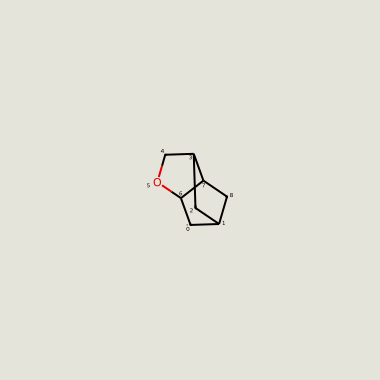 [CH]1C2CC3COC1C3C2